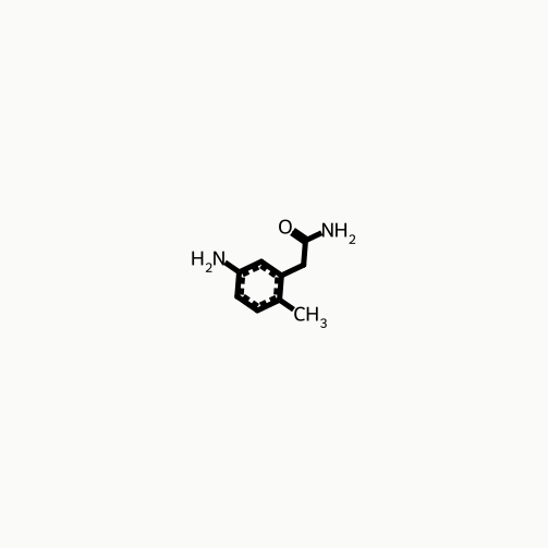 Cc1ccc(N)cc1CC(N)=O